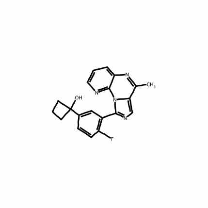 Cc1nc2cccnc2n2c(-c3cc(C4(O)CCC4)ccc3F)ncc12